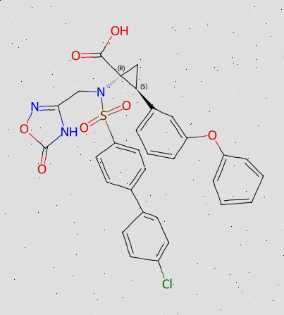 O=C(O)[C@@]1(N(Cc2noc(=O)[nH]2)S(=O)(=O)c2ccc(-c3ccc(Cl)cc3)cc2)C[C@H]1c1cccc(Oc2ccccc2)c1